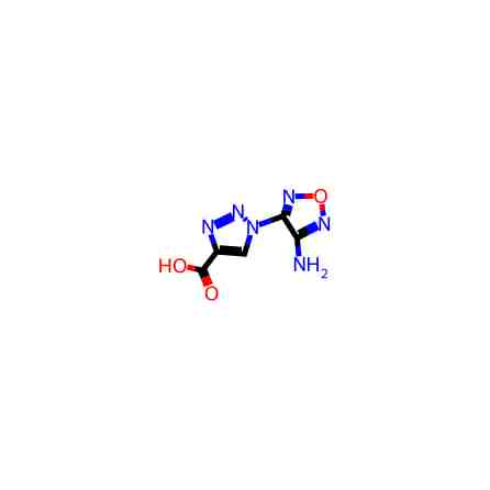 Nc1nonc1-n1cc(C(=O)O)nn1